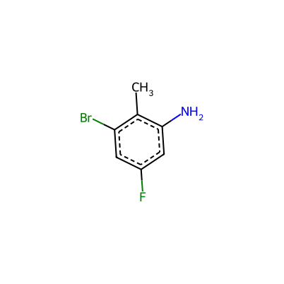 Cc1c(N)cc(F)cc1Br